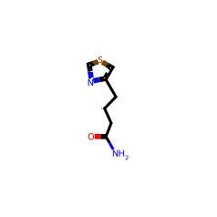 NC(=O)C[CH]Cc1cscn1